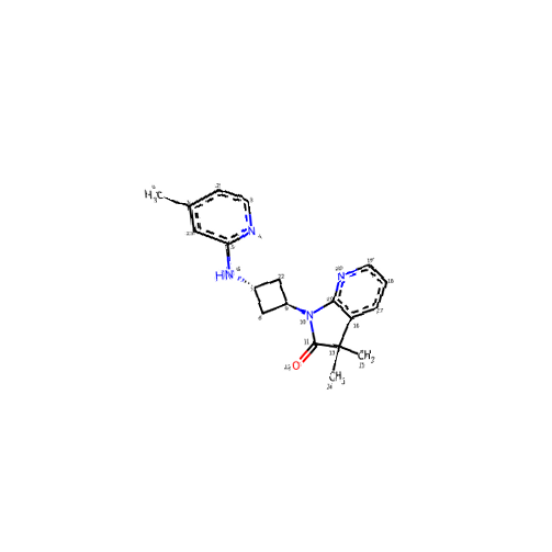 Cc1ccnc(N[C@H]2C[C@H](N3C(=O)C(C)(C)c4cccnc43)C2)c1